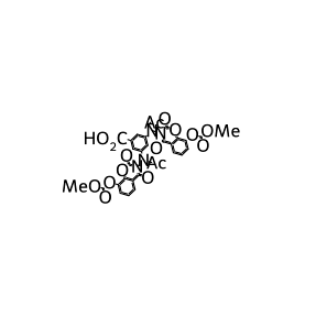 COC(=O)Oc1cccc2c(=O)n(N(C(C)=O)c3cc(C(=O)O)cc(N(C(C)=O)n4c(=O)oc5c(OC(=O)OC)cccc5c4=O)c3)c(=O)oc12